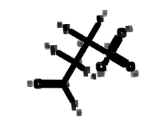 O=C(F)C(F)(F)C(F)(F)S(=O)(=O)Cl